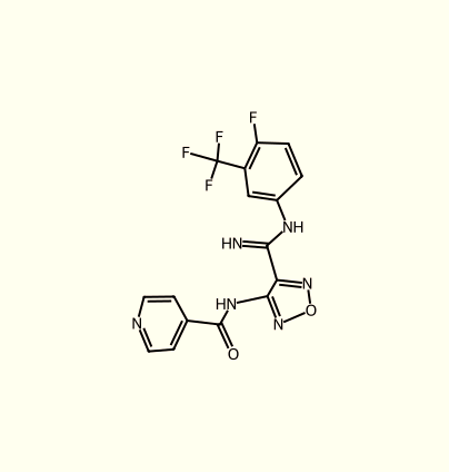 N=C(Nc1ccc(F)c(C(F)(F)F)c1)c1nonc1NC(=O)c1ccncc1